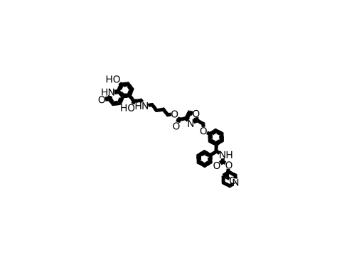 O=C(NC(c1ccccc1)c1cccc(OCc2nc(C(=O)OCCCCNCC(O)c3ccc(O)c4[nH]c(=O)ccc34)co2)c1)OC1CN2CCC1CC2